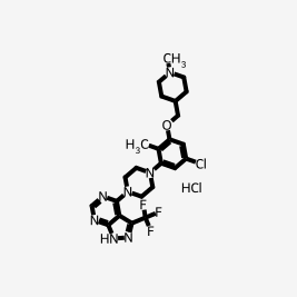 Cc1c(OCC2CCN(C)CC2)cc(Cl)cc1N1CCN(c2ncnc3[nH]nc(C(F)(F)F)c23)CC1.Cl